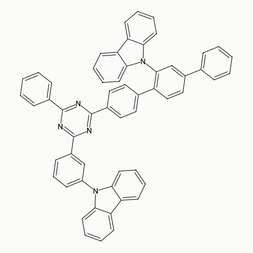 c1ccc(-c2ccc(-c3ccc(-c4nc(-c5ccccc5)nc(-c5cccc(-n6c7ccccc7c7ccccc76)c5)n4)cc3)c(-n3c4ccccc4c4ccccc43)c2)cc1